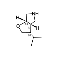 CC(C)[C@@H]1CO[C@@H]2CNC[C@@H]21